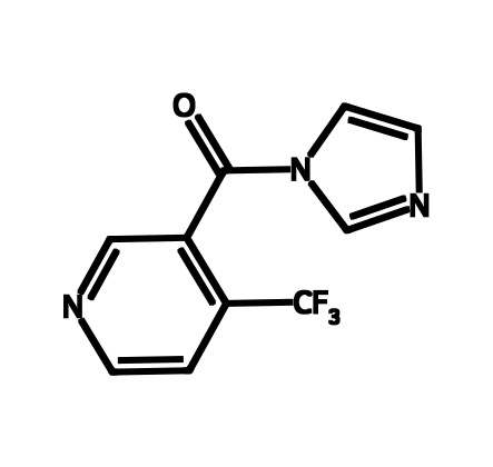 O=C(c1cnccc1C(F)(F)F)n1ccnc1